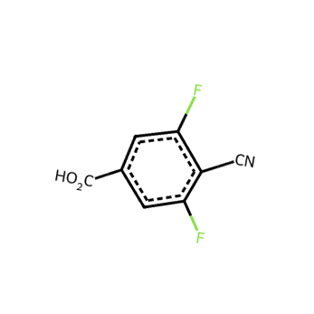 N#Cc1c(F)cc(C(=O)O)cc1F